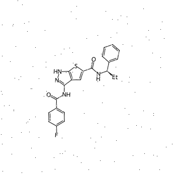 CC[C@@H](NC(=O)c1cc2c(NC(=O)c3ccc(F)cc3)n[nH]c2s1)c1ccccc1